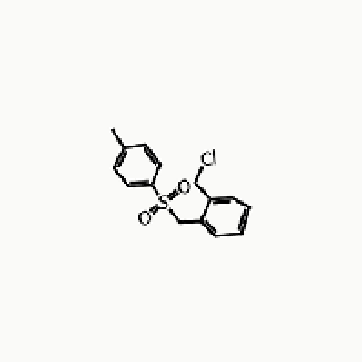 Cc1ccc(S(=O)(=O)Cc2ccccc2CCl)cc1